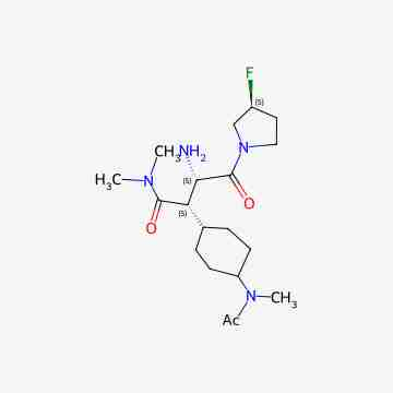 CC(=O)N(C)C1CCC([C@H](C(=O)N(C)C)[C@H](N)C(=O)N2CC[C@H](F)C2)CC1